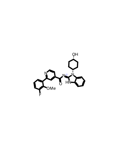 COc1c(F)cccc1-c1cc(C(=O)/N=c2\[nH]c3ccccc3n2[C@H]2CC[C@@H](O)CC2)ccn1